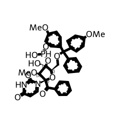 COc1ccc(C(OC[C@H]2O[C@@](C(=O)c3ccccc3)(n3ccc(=O)[nH]c3=O)[C@H](OC)[C@@]2(O)O[PH](=O)O)(c2ccccc2)c2ccc(OC)cc2)cc1